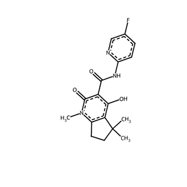 Cn1c2c(c(O)c(C(=O)Nc3ccc(F)cn3)c1=O)C(C)(C)CC2